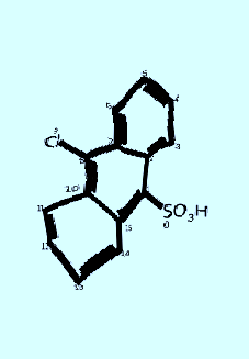 O=S(=O)(O)c1c2ccccc2c(Cl)c2ccccc12